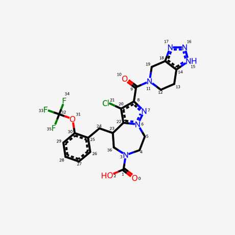 O=C(O)N1CCn2nc(C(=O)N3CCc4[nH]nnc4C3)c(Cl)c2C(Cc2ccccc2OC(F)(F)F)C1